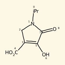 CC(C)N1CC(C(=O)O)=C(O)C1=O